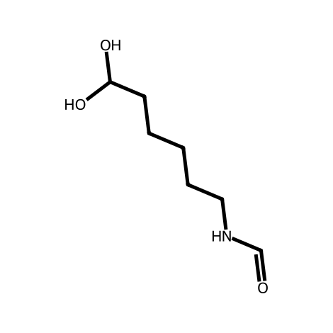 O=CNCCCCCC(O)O